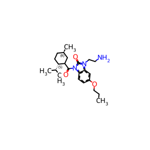 CCCOc1ccc2c(c1)n(CCN)c(=O)n2C(=O)C1C[C@H](C)CC[C@H]1C(C)C